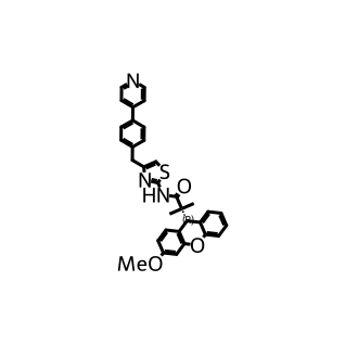 COc1ccc2c(c1)Oc1ccccc1[C@H]2C(C)(C)C(=O)Nc1nc(Cc2ccc(-c3ccncc3)cc2)cs1